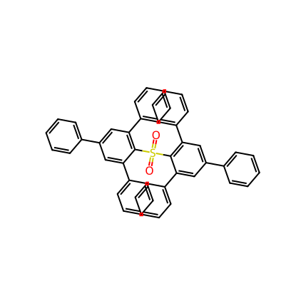 O=S(=O)(c1c(-c2ccccc2)cc(-c2ccccc2)cc1-c1ccccc1)c1c(-c2ccccc2)cc(-c2ccccc2)cc1-c1ccccc1